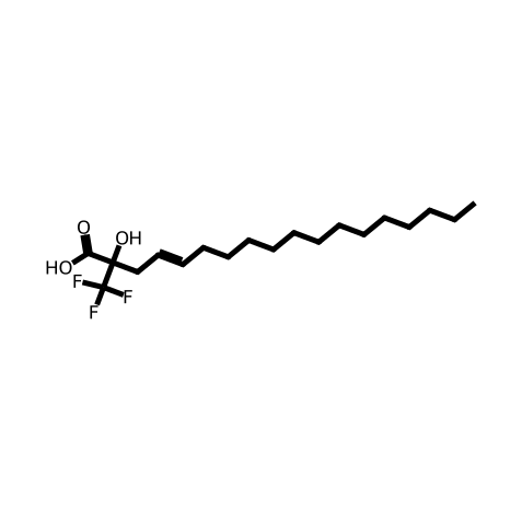 CCCCCCCCCCCCC/C=C/CC(O)(C(=O)O)C(F)(F)F